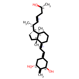 C=C1[C@H](O)CC(=C/C=C2\CCC[C@]3(C)[C@@H]([C@H](C)/C=C/C[C@@H](C)O)CC[C@@]23C)C[C@H]1O